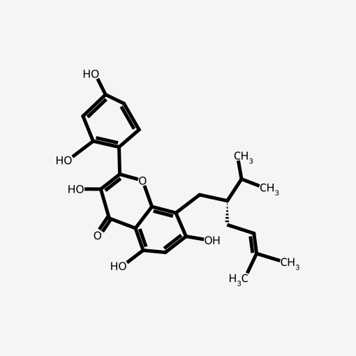 CC(C)=CC[C@H](Cc1c(O)cc(O)c2c(=O)c(O)c(-c3ccc(O)cc3O)oc12)C(C)C